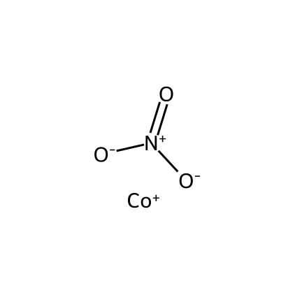 O=[N+]([O-])[O-].[Co+]